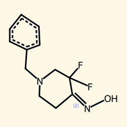 O/N=C1/CCN(Cc2ccccc2)CC1(F)F